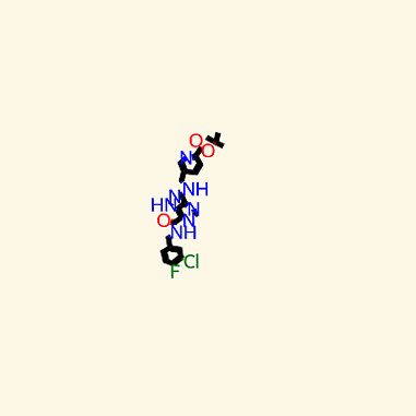 CC(C)(C)OC(=O)c1ccc(CNc2n[nH]c3c(C(=O)NCc4ccc(F)c(Cl)c4)ncnc23)cn1